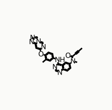 CC#CC(=O)N(C)c1ccc2ncnc(Nc3ccc(Oc4cc5nncn5cn4)c(C)c3)c2c1